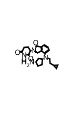 N[C@H]1CC[C@@H](N(CCC2CC2)c2cccc3c2CN(C2CCC(=O)NC2=O)C3=O)C1